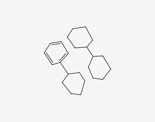 C1CCC(C2CCCCC2)CC1.c1ccc(C2CCCCC2)cc1